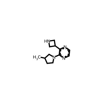 CC1CCN(c2nccnc2C2CNC2)C1